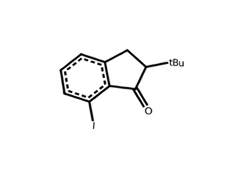 CC(C)(C)C1Cc2cccc(I)c2C1=O